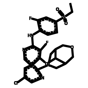 CCS(=O)(=O)c1ccc(Nc2ncnc(OC3C4COCC3CN(c3ncc(Cl)cn3)C4)c2F)c(F)c1